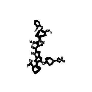 Cc1cc(-n2ncc(C(=O)c3cc4cc(OC5CCN(C6CS(=O)(=O)C6)CC5)c(-c5ccccc5C(F)(F)F)cc4[nH]3)c2N)ccc1Oc1ccccc1F